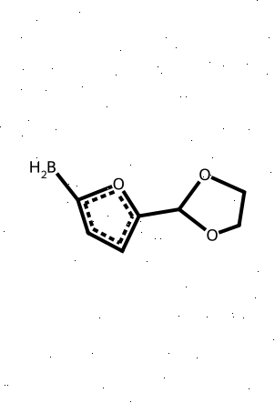 Bc1ccc(C2OCCO2)o1